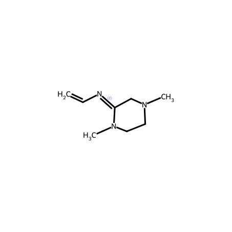 C=C/N=C1/CN(C)CCN1C